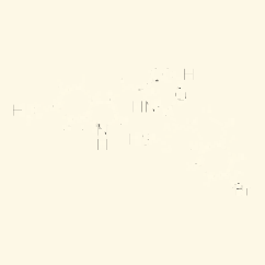 Cc1ccc2c(C[C@H](NC(=O)C(CS)C3CCc4cc(Br)ccc43)C(=O)O)c[nH]c2c1